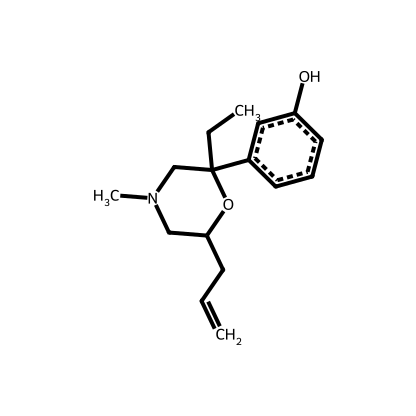 C=CCC1CN(C)CC(CC)(c2cccc(O)c2)O1